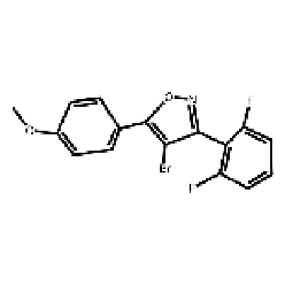 COc1ccc(-c2onc(-c3c(F)cccc3F)c2Br)cc1